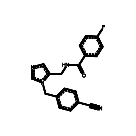 N#Cc1ccc(Cn2cncc2CNC(=O)c2ccc(F)cc2)cc1